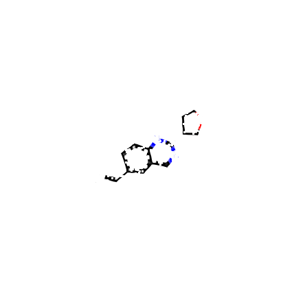 C=Cc1ccc2nc([C@@H]3CCOC3)ncc2c1